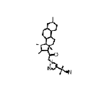 CC1CCC2C(CCC3C2CCC2(C)C(C(=O)Cn4cc(C(C)(C)C#N)cn4)C(C)[C@@H](C)C32)C1